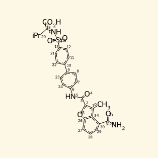 Cc1c(C(=O)Nc2ccc(-c3ccc(S(=O)(=O)NC(C(=O)O)C(C)C)cc3)cc2)oc2cccc(C(N)=O)c12